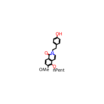 CCCCCOc1c(OC)ccc2c(=O)n(CCc3ccc(O)cc3)ccc12